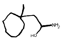 CC1(CC(N)O)CCCCC1